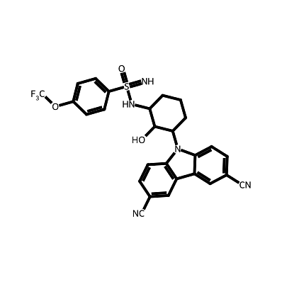 N#Cc1ccc2c(c1)c1cc(C#N)ccc1n2C1CCCC(NS(=N)(=O)c2ccc(OC(F)(F)F)cc2)C1O